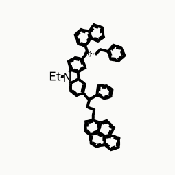 CCN1c2ccc([C@@H](CCc3ccccc3)c3cccc4ccccc34)cc2C2C=C(C(CCc3ccc4ccc5cccc6ccc3c4c56)c3ccccc3)C=CC21